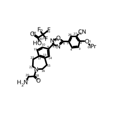 CC(C)Oc1ccc(-c2nc(-c3ccc4c(c3)CCN(C(=O)CN)CC4)no2)cc1C#N.O=C(O)C(F)(F)F